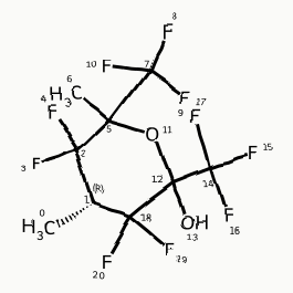 C[C@@H]1C(F)(F)C(C)(C(F)(F)F)OC(O)(C(F)(F)F)C1(F)F